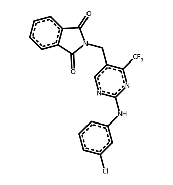 O=C1c2ccccc2C(=O)N1Cc1cnc(Nc2cccc(Cl)c2)nc1C(F)(F)F